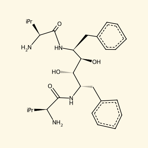 CC(C)[C@H](N)C(=O)N[C@@H](Cc1ccccc1)[C@H](O)[C@H](O)[C@H](Cc1ccccc1)NC(=O)[C@@H](N)C(C)C